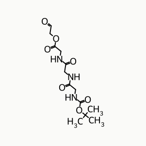 CC(C)(C)OC(=O)NCC(=O)NCC(=O)NCC(=O)OCC=O